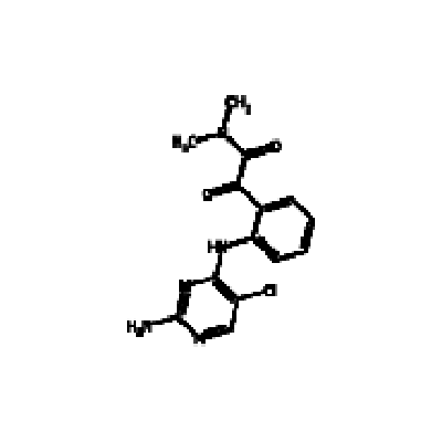 CN(C)C(=O)C(=O)c1ccccc1Nc1nc(N)ncc1Cl